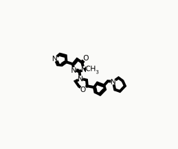 Cn1c(N2CCOC(c3cccc(CN4CCCCC4)c3)C2)nc(-c2ccncc2)cc1=O